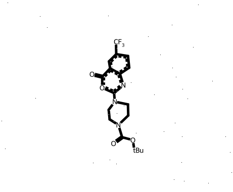 CC(C)(C)OC(=O)N1CCN(c2nc3ccc(C(F)(F)F)cc3c(=O)o2)CC1